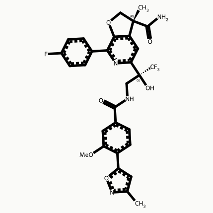 COc1cc(C(=O)NC[C@](O)(c2cc3c(c(-c4ccc(F)cc4)n2)OC[C@]3(C)C(N)=O)C(F)(F)F)ccc1-c1cc(C)no1